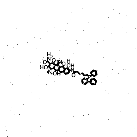 C[C@H]1c2ccc(NC(=O)CCCCC[PH](c3ccccc3)(c3ccccc3)c3ccccc3)c(O)c2C(=O)C2=C(O)[C@]3(O)C(=O)C(C(N)=O)=C(O)[C@@H](N(C)C)C3[C@@H](O)C21